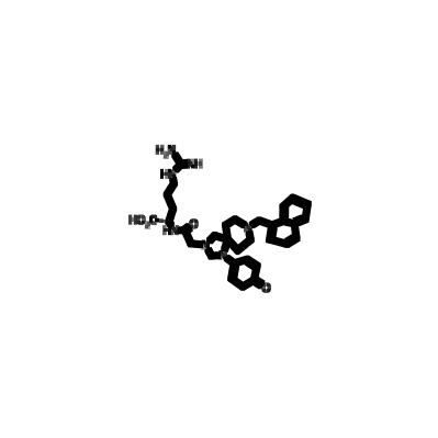 N=C(N)NCCC[C@H](NC(=O)CN1CN(C2=CCC(=O)C=C2)C2(CCN(Cc3cccc4ccccc34)CC2)C1)C(=O)O